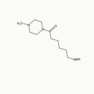 CNCCCCCC(=O)N1CCN(C)CC1